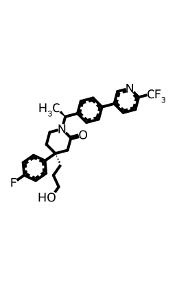 C[C@@H](c1ccc(-c2ccc(C(F)(F)F)nc2)cc1)N1CC[C@](CCCO)(c2ccc(F)cc2)CC1=O